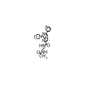 CC(=O)NCCNC(=O)c1cn2cc(-c3cccnc3)nc(N3CCOCC3)c2n1